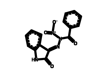 O=C1Nc2ccccc2C1=NN(C(=O)c1ccccc1)[N+](=O)[O-]